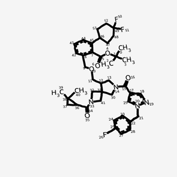 CC(C)(C)OC(=O)c1c(COCC2CN(C(=O)c3cnn(Cc4ccc(F)cc4)c3)CC23CN(C(=O)C2CC2(C)C)C3)cccc1C1CCC(F)(F)CC1